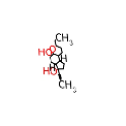 CC#C[C@@]1(O)CC[C@H]2C3CCC(CC)OC3(O)CC[C@@H]21